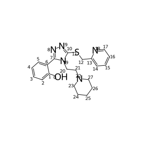 Oc1ccccc1-c1nnc(SCc2ccccn2)n1CCN1CCCCC1